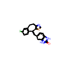 O=c1[nH]c2ccc(/C=C3/c4ccc(F)cc4CCc4ncsc43)cc2[nH]1